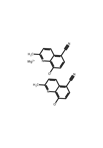 Cc1ccc2c(C#N)ccc([O-])c2n1.Cc1ccc2c(C#N)ccc([O-])c2n1.[Mg+2]